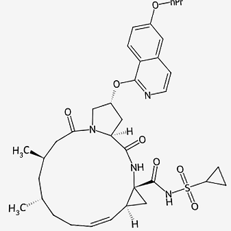 CCCOc1ccc2c(O[C@@H]3C[C@H]4C(=O)N[C@]5(C(=O)NS(=O)(=O)C6CC6)C[C@H]5/C=C\CC[C@H](C)C[C@@H](C)CC(=O)N4C3)nccc2c1